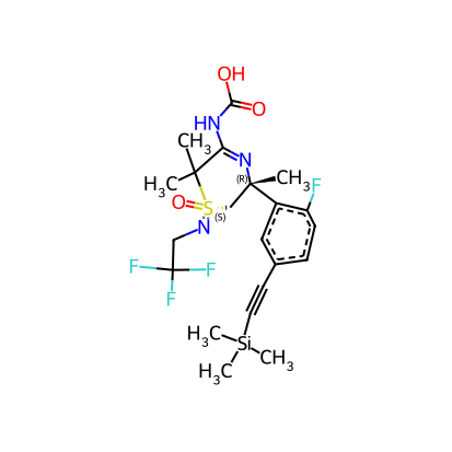 CC1(C)C(NC(=O)O)=N[C@](C)(c2cc(C#C[Si](C)(C)C)ccc2F)C[S@@]1(=O)=NCC(F)(F)F